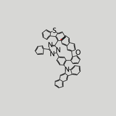 c1ccc(-c2nc(-c3ccc(-n4c5ccccc5c5cc6ccccc6cc54)c(-c4cccc5oc6cc7ccccc7cc6c45)c3)nc(-c3cccc4sc5ccccc5c34)n2)cc1